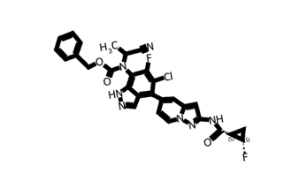 CC(C#N)N(C(=O)OCc1ccccc1)c1c(F)c(Cl)c(-c2ccn3nc(NC(=O)[C@@H]4C[C@@H]4F)cc3c2)c2cn[nH]c12